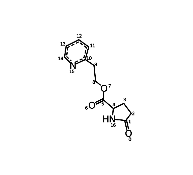 O=C1CCC(C(=O)OCCc2ccccn2)N1